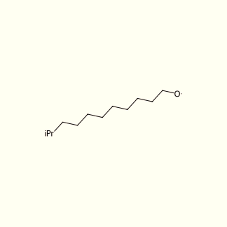 [CH2]C(C)CCCCCCCCC[O]